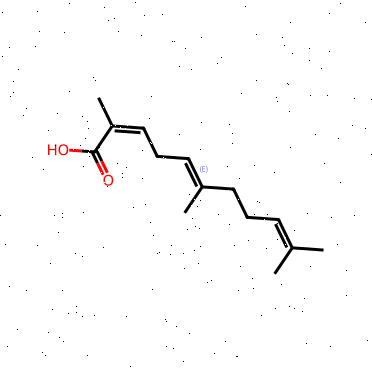 CC(C)=CCC/C(C)=C/CC=C(C)C(=O)O